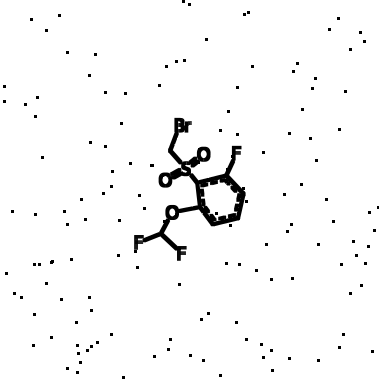 O=S(=O)(CBr)c1c(F)cccc1OC(F)F